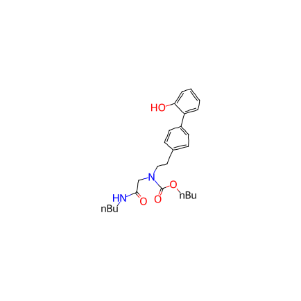 CCCCNC(=O)CN(CCc1ccc(-c2ccccc2O)cc1)C(=O)OCCCC